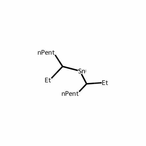 CCCCC[CH](CC)[Sn][CH](CC)CCCCC